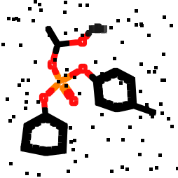 CCCCOC(C)OP(=O)(Oc1ccccc1)Oc1ccc(C)cc1